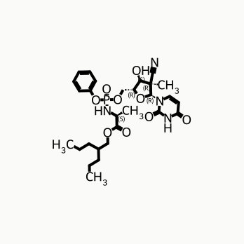 CCCC(CCC)COC(=O)[C@H](C)NP(=O)(OC[C@H]1O[C@@H](n2ccc(=O)[nH]c2=O)[C@](C)(C#N)[C@@H]1O)Oc1ccccc1